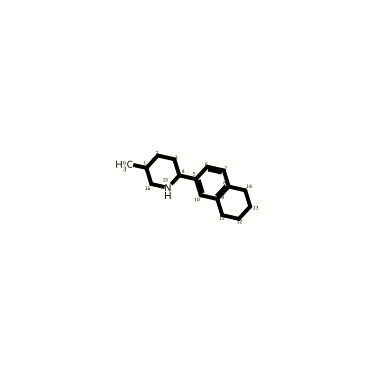 CC1CCC(c2ccc3c(c2)CCCC3)NC1